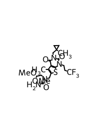 COC(CN(Cc1sc2c(c1C)c(=O)n(CC1(C)CC1)c(=O)n2CCC(F)(F)F)C(N)=O)OC